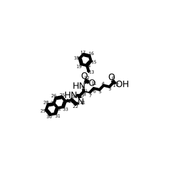 O=C(O)CCCCC[C@H](NC(=O)OCc1ccccc1)c1ncc(-c2ccc3ccccc3c2)[nH]1